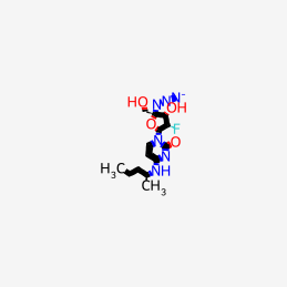 CCC[C@@H](C)Nc1ccn(C2O[C@@](CO)(N=[N+]=[N-])C(O)[C@@H]2F)c(=O)n1